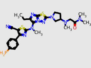 CCc1nc2sc(N3CCC(N(C)CC(=O)N(C)C)C3)nn2c1N(C)c1nc(-c2ccc(P)cc2)c(C#N)s1